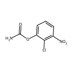 NC(=O)Oc1cccc([N+](=O)[O-])c1Cl